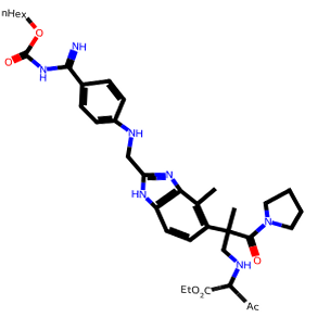 CCCCCCOC(=O)NC(=N)c1ccc(NCc2nc3c(C)c(C(C)(CNC(C(C)=O)C(=O)OCC)C(=O)N4CCCC4)ccc3[nH]2)cc1